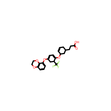 O=C(O)CCC1CC=CC(OC2=CC=C(Oc3cccc4c3OCCO4)CC2C(F)(F)F)C1